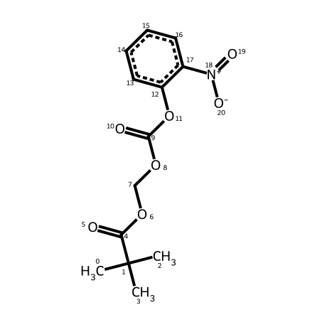 CC(C)(C)C(=O)OCOC(=O)Oc1ccccc1[N+](=O)[O-]